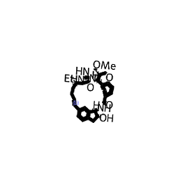 CC[C@]12CC/C=C/c3ccc4c(c3)[C@@H](NC(=O)c3ccc5c(c3)[C@@H]([C@H](COC)CO5)N(C(=N)N1)C(=O)C2)[C@H](O)C4